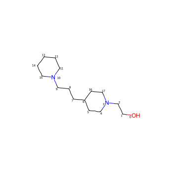 OCCN1CCC(CCCN2CCCCC2)CC1